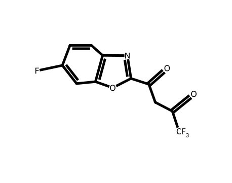 O=C(CC(=O)C(F)(F)F)c1nc2ccc(F)cc2o1